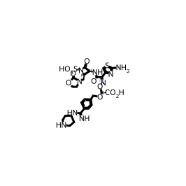 N=C(NC1CCNCC1)c1ccc(CO[C@H](O/N=C(\C(=O)N[C@@H]2C(=O)N(S(=O)(=O)O)[C@@H]2CN2CCOC2=O)c2csc(N)n2)C(=O)O)cc1